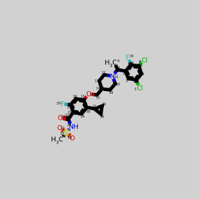 CC(c1cc(Cl)cc(Cl)c1F)N1CCC(COc2cc(F)c(C(=O)NS(C)(=O)=O)cc2C2CC2)CC1